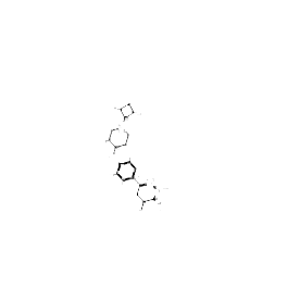 CC1CC(c2ccc(OC3CCN(C4CCC4)CC3)cc2)=NNC1=O